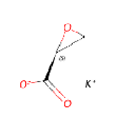 O=C([O-])[C@@H]1CO1.[K+]